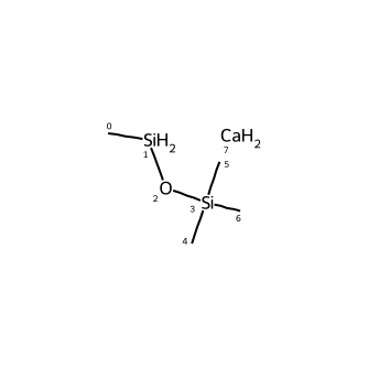 C[SiH2]O[Si](C)(C)C.[CaH2]